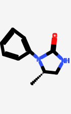 C[C@H]1CNC(=O)N1c1ccccc1